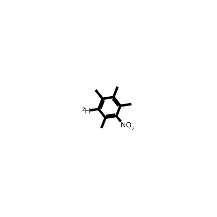 [2H]c1c(C)c(C)c(C)c([N+](=O)[O-])c1C